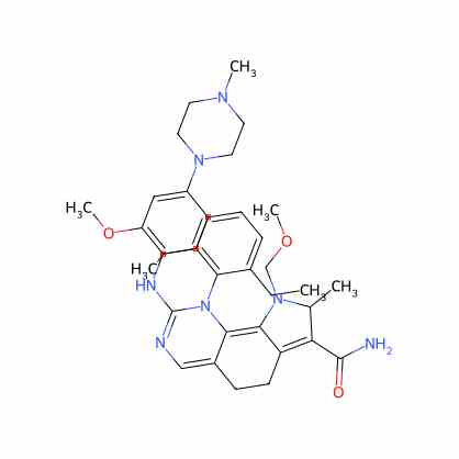 CCc1cccc(CC)c1N1C(Nc2ccc(N3CCN(C)CC3)cc2OC)=NC=C2CCC3=C(C(N)=O)C(C)N(COC)C3=C21